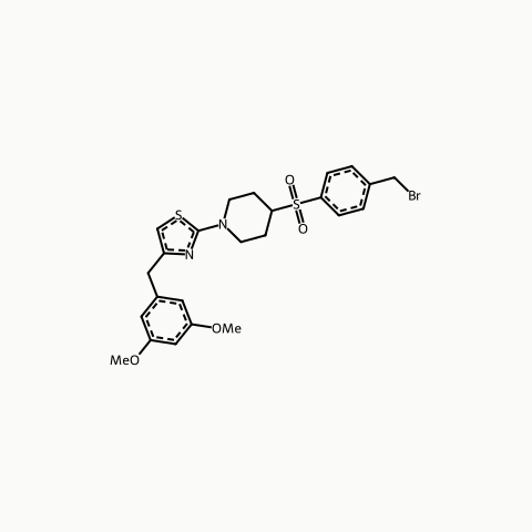 COc1cc(Cc2csc(N3CCC(S(=O)(=O)c4ccc(CBr)cc4)CC3)n2)cc(OC)c1